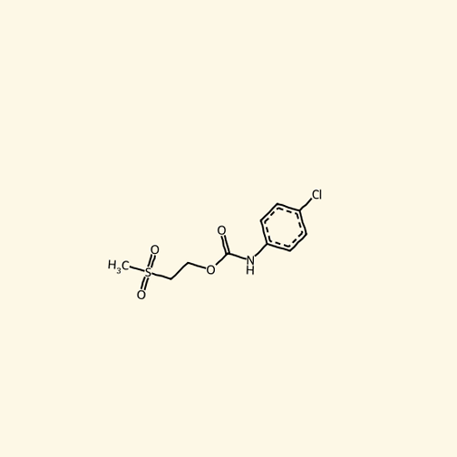 CS(=O)(=O)CCOC(=O)Nc1ccc(Cl)cc1